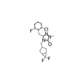 Cn1nc(Cc2c(F)cccc2Cl)n(CC2CC3C(C2)C3(F)F)c1=O